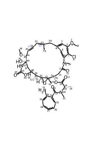 COc1cc2cc(c1Cl)N(C)C(=O)C[C@H](OC(=O)[C@H](C)N(C)C(=O)C1=CC=C=CC=C1N)[C@]1(C)O[C@H]1[C@H](C)[C@@H]1C[C@@](O)(NC(=O)O1)[C@H](OC)/C=C/C=C(\C)C2